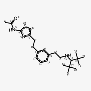 CC(=O)Nc1nc(CCc2cccc(CCNC(C(C)(C)C)C(C)(C)C)c2)cs1